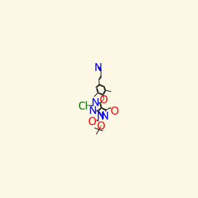 Cc1cc(/C=C/C#N)cc(C)c1Oc1nc(Cl)nc2c1c(C=O)nn2C(=O)OC(C)(C)C